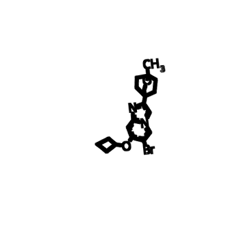 CC12CCC(c3cn4cc(Br)c(OC5CCC5)cc4n3)(CC1)CO2